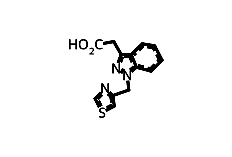 O=C(O)Cc1nn(Cc2cscn2)c2ccccc12